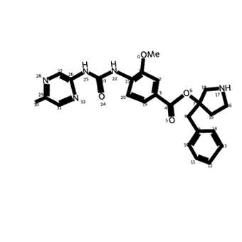 COc1cc(C(=O)OC2(Cc3ccccc3)CCNC2)ccc1NC(=O)Nc1cnc(C)cn1